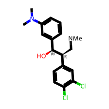 CNC[C@@H](c1ccc(Cl)c(Cl)c1)[C@@H](O)c1cccc(N(C)C)c1